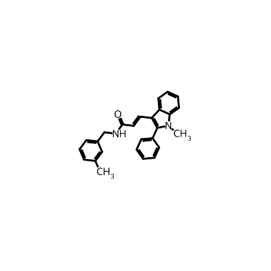 Cc1cccc(CNC(=O)C=Cc2c(-c3ccccc3)n(C)c3ccccc23)c1